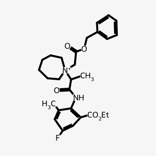 CCOC(=O)c1cc(F)cc(C)c1NC(=O)C(C)[N+]1(CC(=O)OCc2ccccc2)CCCCCC1